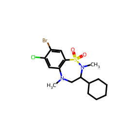 CN1CC(C2CCCCC2)N(C)S(=O)(=O)c2cc(Br)c(Cl)cc21